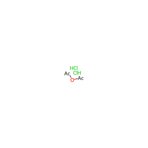 CC(=O)OC(C)=O.Cl.Cl